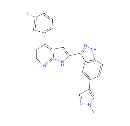 Cn1cc(-c2ccc3[nH]nc(-c4cc5c(-c6cccc(F)c6)ccnc5[nH]4)c3c2)cn1